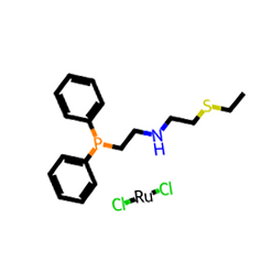 CCSCCNCCP(c1ccccc1)c1ccccc1.[Cl][Ru][Cl]